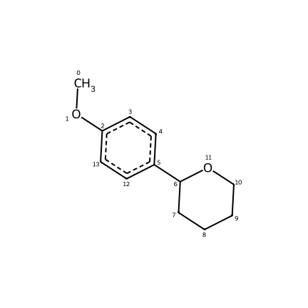 COc1ccc(C2CCCCO2)cc1